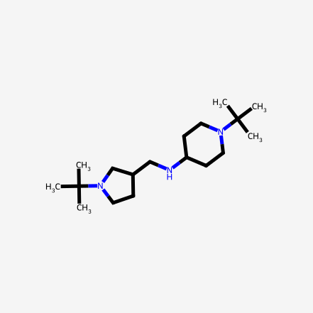 CC(C)(C)N1CCC(NCC2CCN(C(C)(C)C)C2)CC1